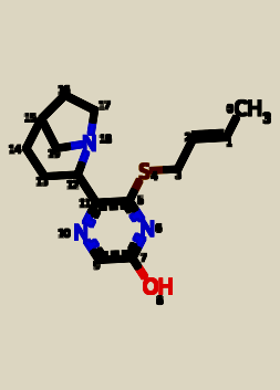 C/C=C/CSc1nc(O)cnc1C1CCC2CCN1C2